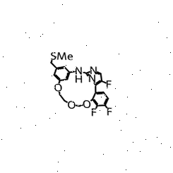 CSCc1cc2cc(c1)OCCOCOc1c(ccc(F)c1F)-c1nc(ncc1F)N2